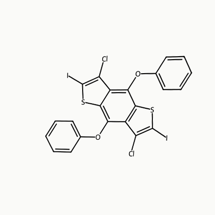 Clc1c(I)sc2c(Oc3ccccc3)c3c(Cl)c(I)sc3c(Oc3ccccc3)c12